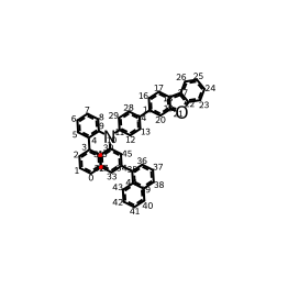 c1ccc(-c2ccccc2N(c2ccc(-c3ccc4c(c3)oc3ccccc34)cc2)c2cccc(-c3cccc4ccccc34)c2)cc1